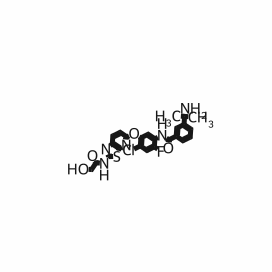 CC(C)(N)c1cccc(C(=O)Nc2cc(Oc3ccc4nc(NC(=O)CO)sc4n3)c(Cl)cc2F)c1